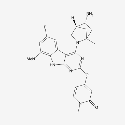 CNc1cc(F)cc2c1[nH]c1nc(Oc3ccn(C)c(=O)c3)nc(N3C[C@H]4CC3(C)C[C@H]4N)c12